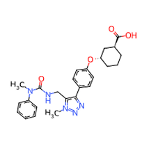 CN(C(=O)NCc1c(-c2ccc(O[C@H]3CCC[C@H](C(=O)O)C3)cc2)nnn1C)c1ccccc1